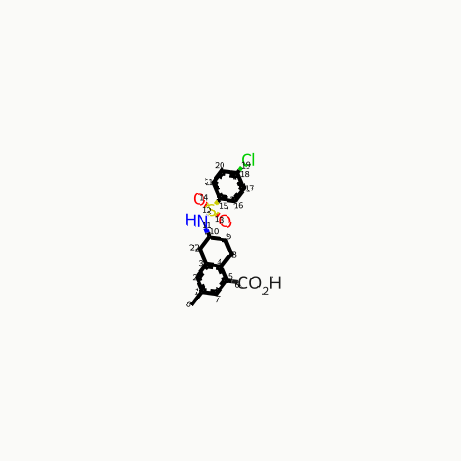 Cc1cc2c(c(C(=O)O)c1)CCC(NS(=O)(=O)c1ccc(Cl)cc1)C2